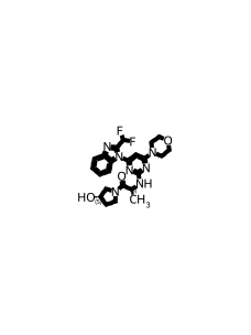 C[C@H](Nc1nc(N2CCOCC2)cc(-n2c(C(F)F)nc3ccccc32)n1)C(=O)N1CC[C@H](O)C1